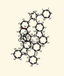 c1ccc(-c2nnc(-c3ccccc3)n2-c2ccc3c4ccccc4n(-c4ccccc4-c4cccc(-c5ccccc5-n5c6ccccc6c6c7oc8ccccc8c7ccc65)c4)c3c2)cc1